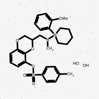 COc1ccccc1[N+]1(N(C)CC2COc3cccc(OS(=O)(=O)c4ccc(C)cc4)c3O2)CCCCC1.Cl.Cl